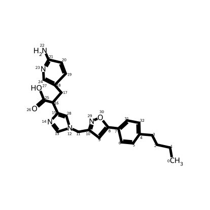 CCCCc1ccc(-c2cc(Cn3cnc(C(Cc4ccc(N)nc4)C(=O)O)c3)no2)cc1